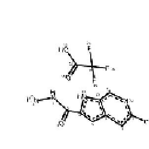 NNC(=O)c1cc2cc(Cl)ncc2[nH]1.O=C(O)C(F)(F)F